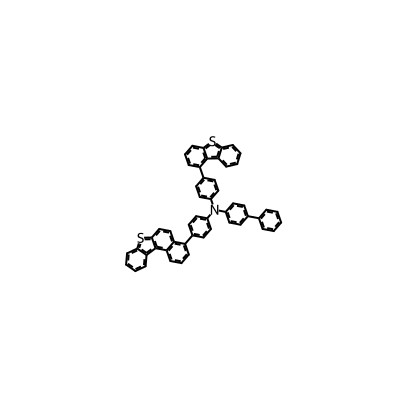 c1ccc(-c2ccc(N(c3ccc(-c4cccc5c4ccc4sc6ccccc6c45)cc3)c3ccc(-c4cccc5sc6ccccc6c45)cc3)cc2)cc1